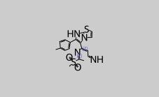 C/C(=N\C(=C/C=N)C1=C(c2ccc(C)cc2)NC2SC=CN12)S(C)(=O)=O